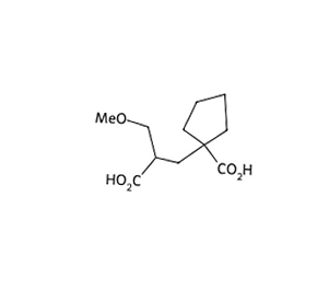 COCC(CC1(C(=O)O)CCCC1)C(=O)O